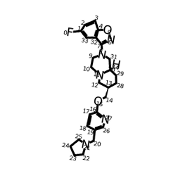 Fc1ccc2onc(N3CCN4C[C@H](COc5ccc(CN6CCCC6)cn5)CC[C@H]4C3)c2c1